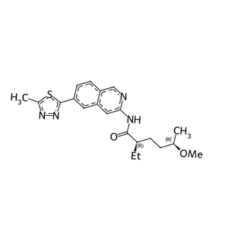 CC[C@H](CC[C@@H](C)OC)C(=O)Nc1cc2cc(-c3nnc(C)s3)ccc2cn1